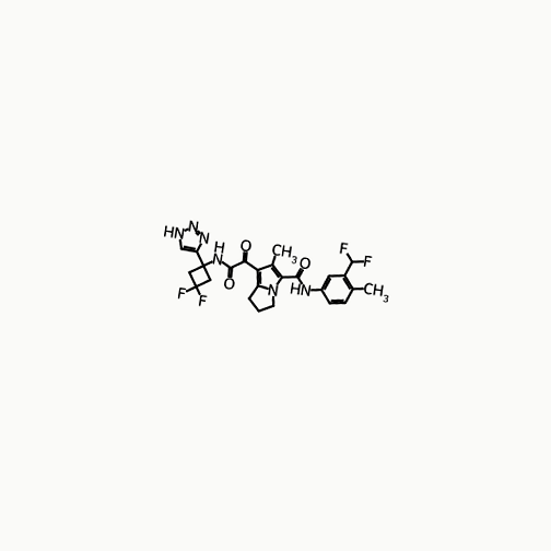 Cc1ccc(NC(=O)c2c(C)c(C(=O)C(=O)NC3(c4c[nH]nn4)CC(F)(F)C3)c3n2CCC3)cc1C(F)F